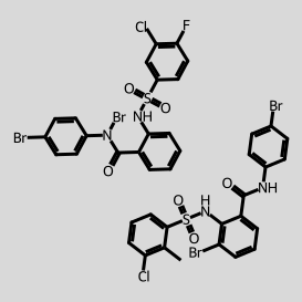 Cc1c(Cl)cccc1S(=O)(=O)Nc1c(Br)cccc1C(=O)Nc1ccc(Br)cc1.O=C(c1ccccc1NS(=O)(=O)c1ccc(F)c(Cl)c1)N(Br)c1ccc(Br)cc1